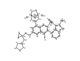 N#Cc1c(N)[se]c2cccc(-c3c(Cl)cc4c(N5C[C@H]6CC[C@@H](C5)N6)nc(OCC5(CN6CCCC6)CC5)nc4c3F)c12